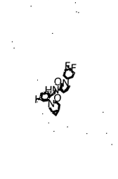 O=C(Nc1cccn(C2CCC(F)(F)CC2)c1=O)c1ccc(I)cc1N1CCC2CC2C1